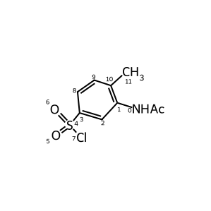 CC(=O)Nc1cc(S(=O)(=O)Cl)ccc1C